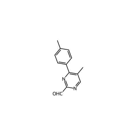 Cc1ccc(-c2nc(C=O)ncc2C)cc1